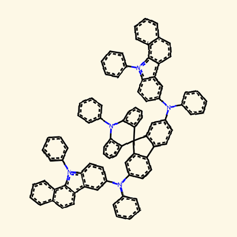 c1ccc(N(c2ccc3c(c2)C2(c4cc(N(c5ccccc5)c5ccc6c(c5)c5ccc7ccccc7c5n6-c5ccccc5)ccc4-3)c3ccccc3N(c3ccccc3)c3ccccc32)c2ccc3c(c2)c2ccc4ccccc4c2n3-c2ccccc2)cc1